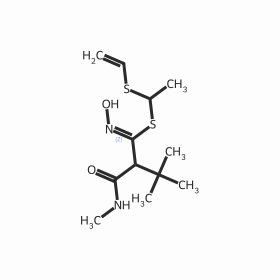 C=CSC(C)S/C(=N\O)C(C(=O)NC)C(C)(C)C